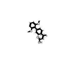 COc1cccc(OC)c1-c1ccc(/C(C)=C\C(=O)O)cc1